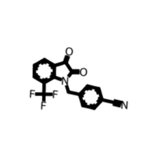 N#Cc1ccc(CN2C(=O)C(=O)c3cccc(C(F)(F)F)c32)cc1